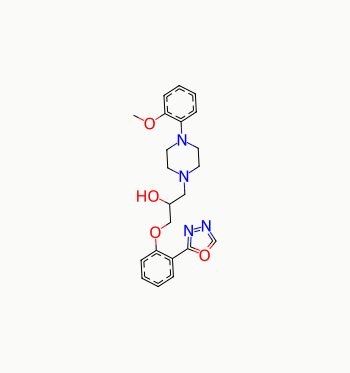 COc1ccccc1N1CCN(CC(O)COc2ccccc2-c2nnco2)CC1